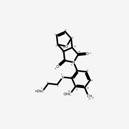 CCCCCCCCCCCCSc1c(N2C(=O)C3C4C=CC(O4)C3C2=O)ccc(C)c1C=O